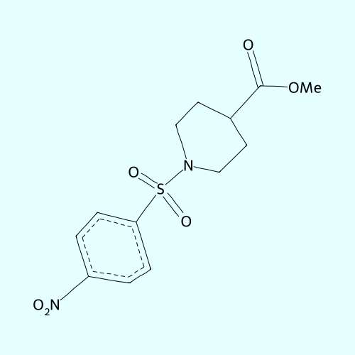 COC(=O)C1CCN(S(=O)(=O)c2ccc([N+](=O)[O-])cc2)CC1